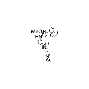 COc1nc(-c2cccc3c2OCCO3)ccc1Nc1cccc(C(=O)NCC2CCN(C(C)=O)CC2)c1